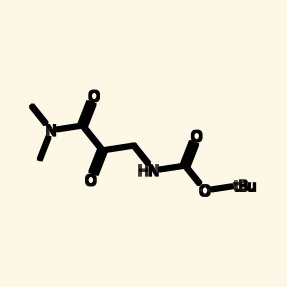 CN(C)C(=O)C(=O)CNC(=O)OC(C)(C)C